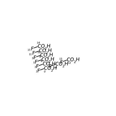 O=C(O)F.O=C(O)F.O=C(O)F.O=C(O)F.O=C(O)F.O=C(O)F.O=C(O)F.O=C(O)F